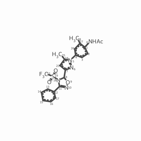 CC(=O)Nc1ccc(-n2nc(C3ON=C(c4ccccc4)N3S(=O)(=O)C(F)(F)F)cc2C)cc1C